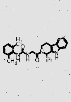 Cc1cccc(C)c1NC(=O)NCC(=O)N1CCc2c([nH]c3ccccc23)C1C(C)C